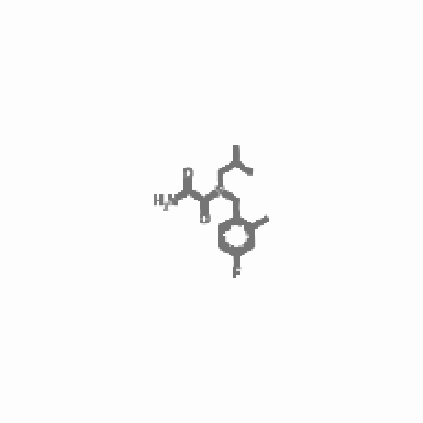 Cc1cc(F)ccc1CN(CC(C)C)C(=O)C(N)=O